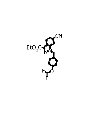 CCOC(=O)c1nn(Cc2ccc(OC(F)F)cc2)c2cc(C#N)ccc12